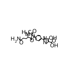 CC(=O)N(C(=O)C(N)CCC(N)=O)c1ccc(-c2ncc(C(=O)O)c(O)n2)cc1